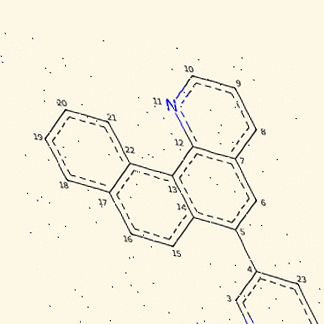 c1cncc(-c2cc3cccnc3c3c2ccc2ccccc23)c1